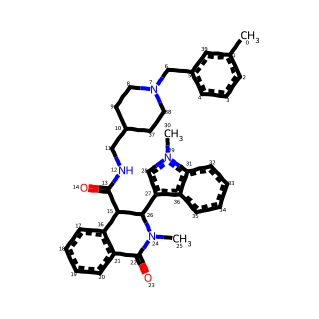 Cc1cccc(CN2CCC(CNC(=O)C3c4ccccc4C(=O)N(C)C3c3cn(C)c4ccccc34)CC2)c1